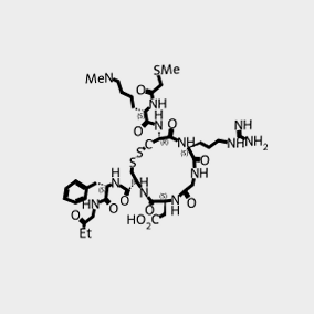 CCC(=O)CNC(=O)[C@H](Cc1ccccc1)NC(=O)[C@@H]1CSSC[C@H](NC(=O)[C@H](CCCCNC)NC(=O)CSC)C(=O)N[C@@H](CCCNC(=N)N)C(=O)NCC(=O)N[C@@H](CC(=O)O)C(=O)N1